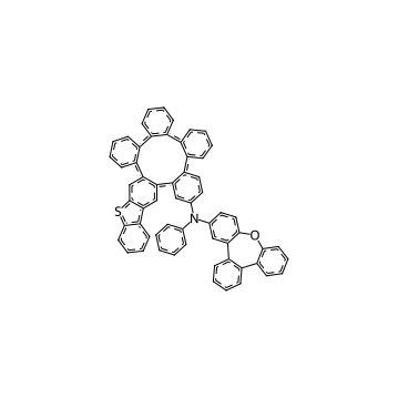 c1ccc(N(c2ccc3c(c2)-c2ccccc2-c2ccccc2O3)c2ccc3c4ccccc4c4ccccc4c4ccccc4c4cc5sc6ccccc6c5cc4c3c2)cc1